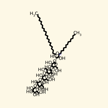 CCCCCCCCCCCCC/C=C/[C@@H](O)[C@H](CO[C@@H]1OC(CO)[C@@H](O[C@@H]2OC(CO)[C@H](O[C@@H]3OC(CO)[C@H](O)[C@H](O[C@H]4OC(CO)[C@H](O)[C@H](O[C@H]5OC(CO)[C@H](O)[C@H](O)C5O)C4O)C3O)[C@H](O)C2O)[C@H](O)C1O)NC(=O)CCCCCCCCCCCCCCCCCCCCCCC